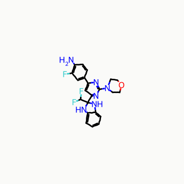 Nc1ccc(-c2cc(C3(C(F)F)Nc4ccccc4N3)nc(N3CCOCC3)n2)cc1F